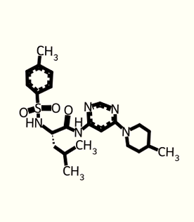 Cc1ccc(S(=O)(=O)N[C@@H](CC(C)C)C(=O)Nc2cc(N3CCC(C)CC3)ncn2)cc1